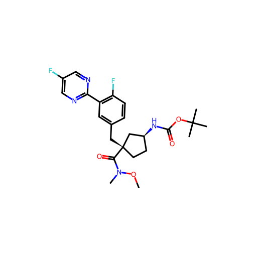 CON(C)C(=O)[C@@]1(Cc2ccc(F)c(-c3ncc(F)cn3)c2)CC[C@H](NC(=O)OC(C)(C)C)C1